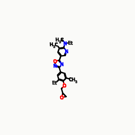 CCc1cc(-c2noc(-c3cnc(N(C)CC)c(C)c3)n2)cc(C)c1OCC1CO1